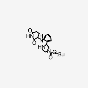 CC(C)(C)OC(=O)N1CCNC(c2ccccc2NC2CCC(=O)NC2=O)C1